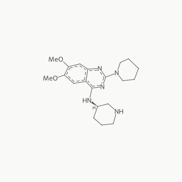 COc1cc2nc(N3CCCCC3)nc(N[C@@H]3CCCNC3)c2cc1OC